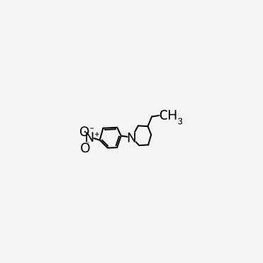 CCC1CCCN(c2ccc([N+](=O)[O-])cc2)C1